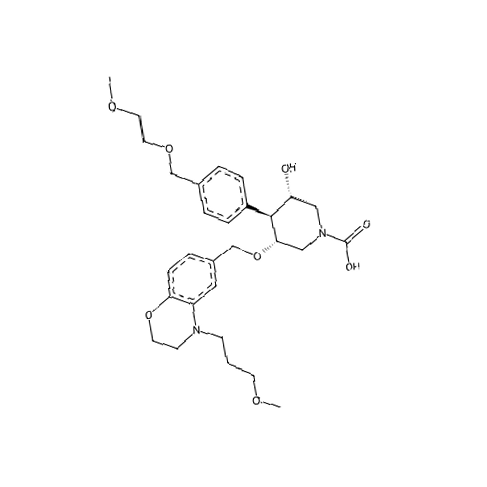 COCCCN1CCOc2ccc(CO[C@H]3CN(C(=O)O)C[C@@H](O)[C@@H]3c3ccc(COCCOC)cc3)cc21